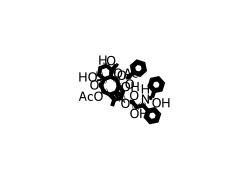 CC(=O)O[C@H]1C(=O)[C@@]2(C)C([C@H](OC(=O)c3ccccc3)[C@]3(O)C[C@H](OC(=O)[C@H](O)[C@@H](NC(O)c4ccccc4)c4ccccc4)C(C)=C1C3(C)C)[C@]1(OC(C)=O)CO[C@@H]1C[C@@H]2O